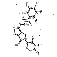 O=C1CCC(N2Cc3c(csc3CNS(=O)(=O)c3c(F)c(F)c(F)c(F)c3F)C2=O)C(=O)N1